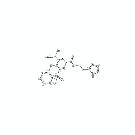 CCCCN(CCCC)c1cc(C(=O)NCCc2ccc[nH]2)cc(S(N)(=O)=O)c1Oc1ccccc1